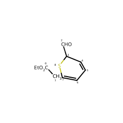 CCOC(C)=O.O=CC1C=CC=CS1